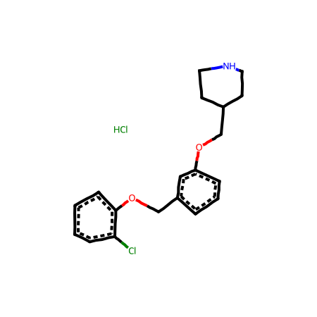 Cl.Clc1ccccc1OCc1cccc(OCC2CCNCC2)c1